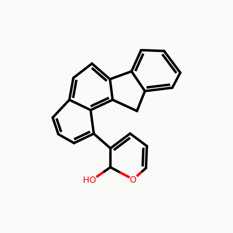 OC1OC=CC=C1c1cccc2ccc3c(c12)Cc1ccccc1-3